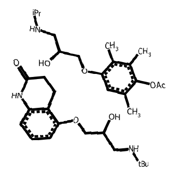 CC(=O)Oc1c(C)cc(OCC(O)CNC(C)C)c(C)c1C.CC(C)(C)NCC(O)COc1cccc2c1CCC(=O)N2